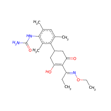 CCON=C(CC)C1=C(O)CC(c2c(C)cc(C)c(NC(N)=O)c2C)CC1=O